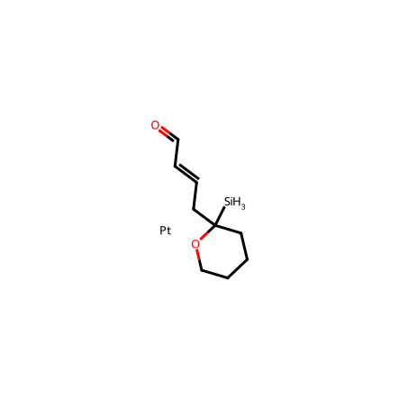 O=CC=CCC1([SiH3])CCCCO1.[Pt]